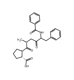 CN(CC(=O)C(Cc1ccccc1)NC(=O)c1ccccc1)C(=O)N1CCC[C@H]1C(=O)O